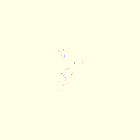 CC1CN(C(=O)C(F)(F)F)CCc2nc(OC(F)F)ccc21